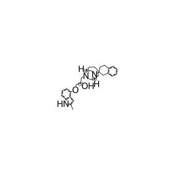 Cc1cc2c(OC[C@@H](O)CN3C[C@@H]4CCCC[C@H]3CN4C3CCc4ccccc4C3)cccc2[nH]1